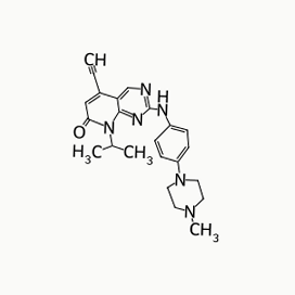 C#Cc1cc(=O)n(C(C)C)c2nc(Nc3ccc(N4CCN(C)CC4)cc3)ncc12